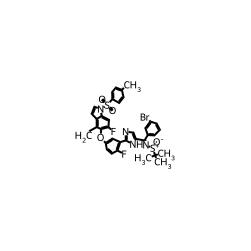 C=Cc1c(Oc2ccc(F)c(-c3ncc(/C(=N/[S@+]([O-])C(C)(C)C)c4cccc(Br)c4)[nH]3)c2)c(F)cc2c1ccn2S(=O)(=O)c1ccc(C)cc1